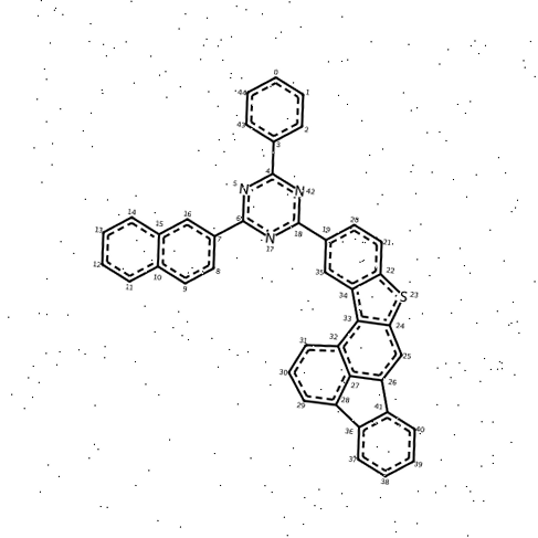 c1ccc(-c2nc(-c3ccc4ccccc4c3)nc(-c3ccc4sc5cc6c7c(cccc7c5c4c3)-c3ccccc3-6)n2)cc1